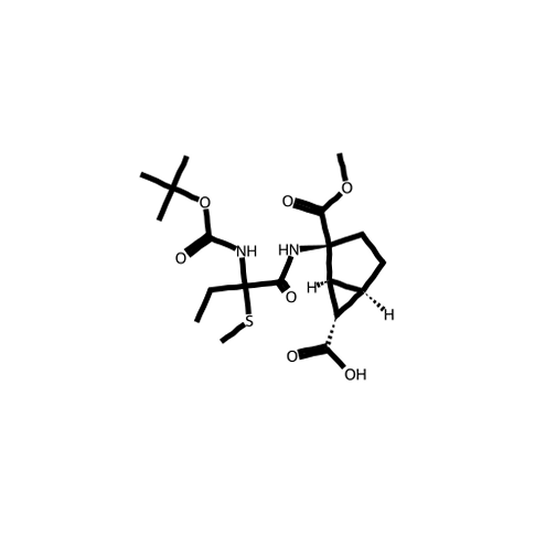 CCC(NC(=O)OC(C)(C)C)(SC)C(=O)N[C@@]1(C(=O)OC)CC[C@H]2[C@H](C(=O)O)[C@H]21